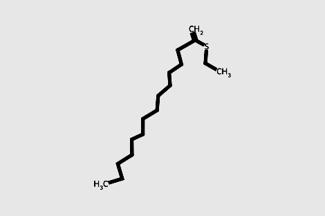 C=C(CCCCCCCCCCCCC)SCC